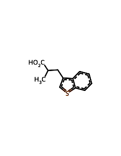 CC(Cc1csc2ccccc12)C(=O)O